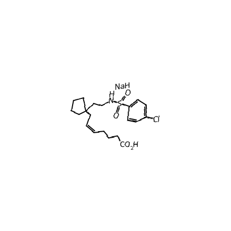 O=C(O)CCC/C=C\CC1(CCNS(=O)(=O)c2ccc(Cl)cc2)CCCC1.[NaH]